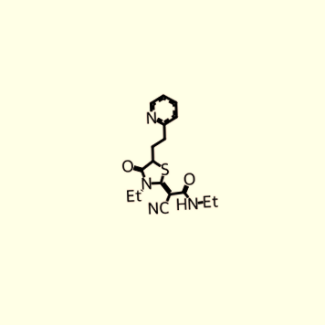 CCNC(=O)/C(C#N)=C1\SC(CCc2ccccn2)C(=O)N1CC